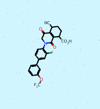 N#CC1CCC(C(=O)O)C2=C1C(=O)CN(c1ccc(-c3cccc(OC(F)(F)F)c3)cc1F)C2=O